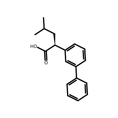 CC(C)C[C@H](C(=O)O)c1cccc(-c2ccccc2)c1